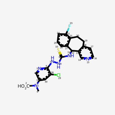 CN(C(=O)O)c1cnc(NNC(=S)NC2c3cnccc3CCc3c(F)cccc32)c(Cl)c1